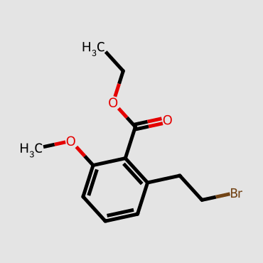 CCOC(=O)c1c(CCBr)cccc1OC